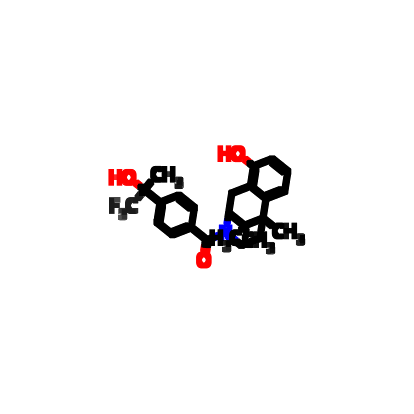 CC(O)(c1ccc(C(=O)N2CCC3(C)c4cccc(O)c4CC2C3(C)C)cc1)C(F)(F)F